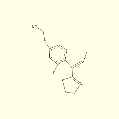 C/C=C(/C1=NCCC1)c1ccc(OCC#N)cc1I